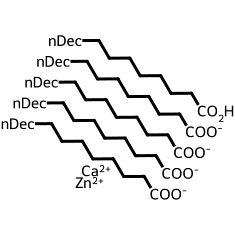 CCCCCCCCCCCCCCCCCC(=O)O.CCCCCCCCCCCCCCCCCC(=O)[O-].CCCCCCCCCCCCCCCCCC(=O)[O-].CCCCCCCCCCCCCCCCCC(=O)[O-].CCCCCCCCCCCCCCCCCC(=O)[O-].[Ca+2].[Zn+2]